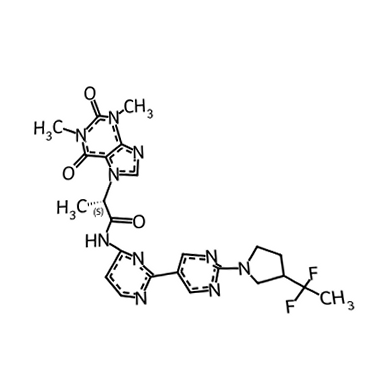 C[C@@H](C(=O)Nc1ccnc(-c2cnc(N3CCC(C(C)(F)F)C3)nc2)n1)n1cnc2c1c(=O)n(C)c(=O)n2C